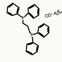 [Au+].[Au+].[Cl-].[Cl-].c1ccc(P(CCCP(c2ccccc2)c2ccccc2)c2ccccc2)cc1